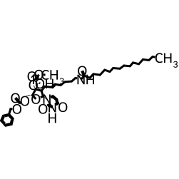 CCCCCCCCCCCCCCCC(=O)NCCCC/C=C/CC1[C@@H](OP(=O)(O)OC)[C@@H](COC(=O)OCc2ccccc2)O[C@H]1n1ccc(=O)[nH]c1=O